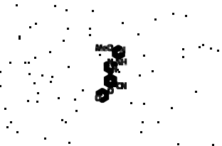 COc1cncc(Nc2nccc(-c3ccc(OC4CCOCC4)c(C#N)c3)n2)c1